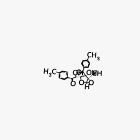 C#C[C@]12O[C@@H]1O[C@H](C(O)C(=O)c1ccc(C)cc1)[C@]2(O)C(=O)c1ccc(C)cc1